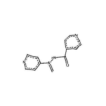 C=[N+](NC(=O)c1ccncc1)c1ccncc1